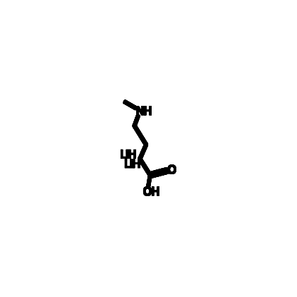 CNCCCC(=O)O.[LiH].[LiH]